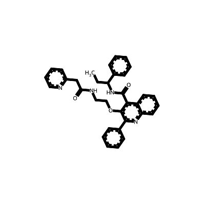 CCC(NC(=O)c1c(OCCNC(=O)Cc2ccccn2)c(-c2ccccc2)nc2ccccc12)c1ccccc1